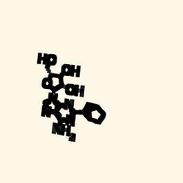 Nc1nc(C2CC3CCC2C3)nc2c1ncn2[C@@H]1O[C@H](CO)[C@@H](O)[C@@H]1O